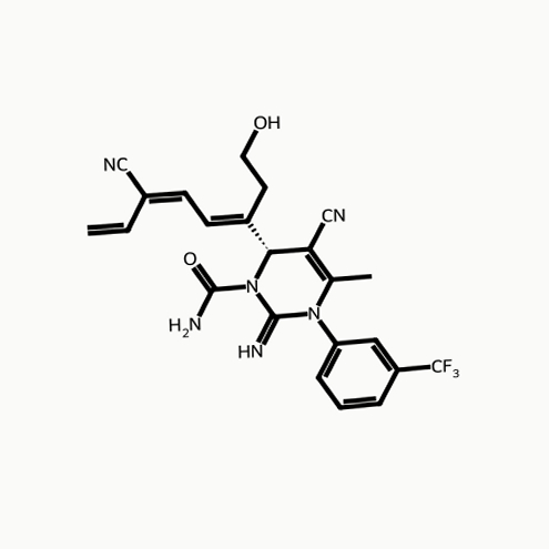 C=C/C(C#N)=C\C=C(/CCO)[C@@H]1C(C#N)=C(C)N(c2cccc(C(F)(F)F)c2)C(=N)N1C(N)=O